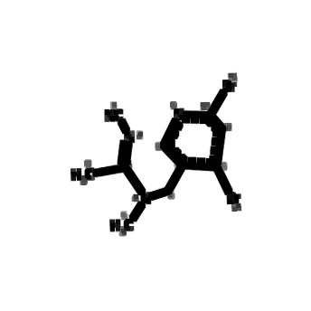 CC(=NC#N)N(C)Cc1cnc(Br)cc1Br